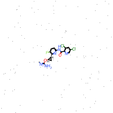 C/N=C(/N)O[C@@H]1C[C@@H]1c1nc(NC(=O)c2ncc(Cl)cc2Cl)ccc1F